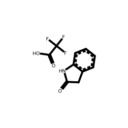 O=C(O)C(F)(F)F.O=C1Cc2ccccc2N1